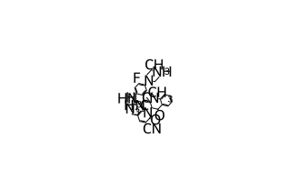 CC1CN(c2ccc(Nc3ncc4cc(C#N)c(=O)n(C5C(=O)c6ccccc6N(C)C5(C)C)c4n3)cc2F)CCN1